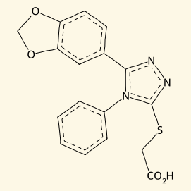 O=C(O)CSc1nnc(-c2ccc3c(c2)OCO3)n1-c1ccccc1